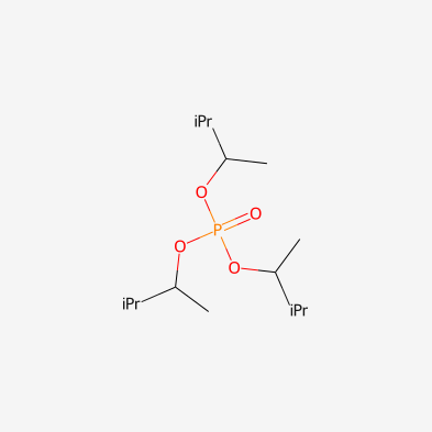 CC(C)C(C)OP(=O)(OC(C)C(C)C)OC(C)C(C)C